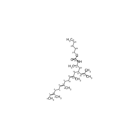 C/C=C(\C)CC/C=C(\C)CC/C=C(\C)CC(C=C(C)C)CC(C)NC(=O)OCCCCC